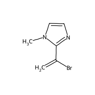 C=C(Br)c1nccn1C